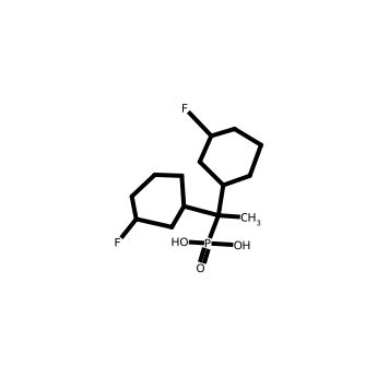 CC(C1CCCC(F)C1)(C1CCCC(F)C1)P(=O)(O)O